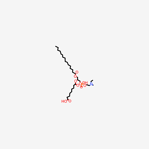 CCCCCCCCCCCCCCCC(=O)OCC(COP(=O)(O)OCCN(C)CC)OC(=O)CCCCCCCC(=O)O